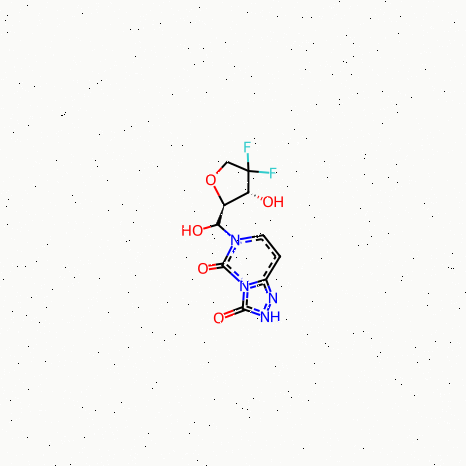 O=c1[nH]nc2ccn(C(O)[C@H]3OCC(F)(F)[C@@H]3O)c(=O)n12